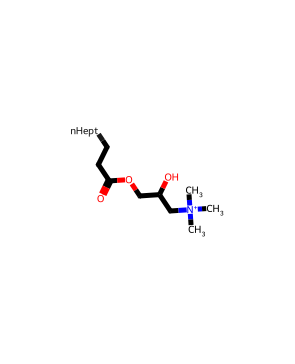 CCCCCCCCCC(=O)OCC(O)C[N+](C)(C)C